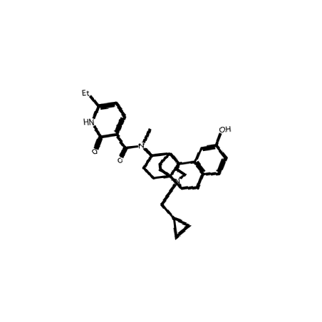 CCc1ccc(C(=O)N(C)C2CCC34CCC2C32CCN(CC3CC3)C4Cc3ccc(O)cc32)c(=O)[nH]1